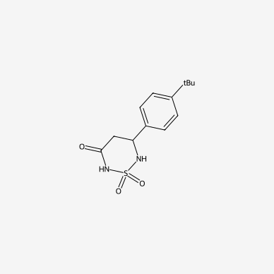 CC(C)(C)c1ccc(C2CC(=O)NS(=O)(=O)N2)cc1